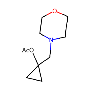 CC(=O)OC1(CN2CCOCC2)CC1